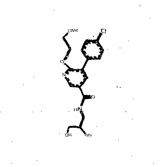 CCCC(CO)CNC(=O)c1cnc(OCCOC)c(-c2ccc(Cl)cc2)c1